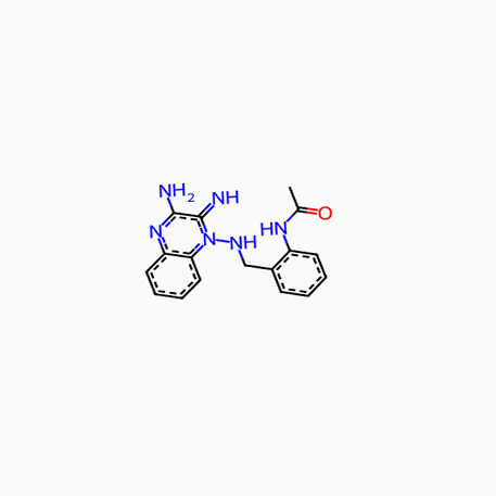 CC(=O)Nc1ccccc1CNn1c(=N)c(N)nc2ccccc21